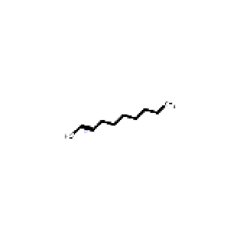 CCCCCCC/C=C/O